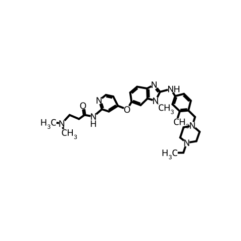 CCN1CCN(Cc2ccc(Nc3nc4ccc(Oc5ccnc(NC(=O)CCN(C)C)c5)cc4n3C)cc2C)CC1